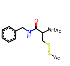 CC(=O)NC(CSSC(C)=O)C(=O)NCc1ccccc1